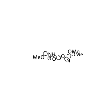 COc1cccc(NC(=O)c2cc3cc(Oc4ccnc5cc(OC)c(OC)cc45)ccc3o2)c1